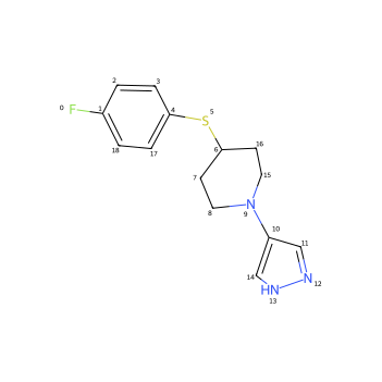 Fc1ccc(SC2CCN(c3cn[nH]c3)CC2)cc1